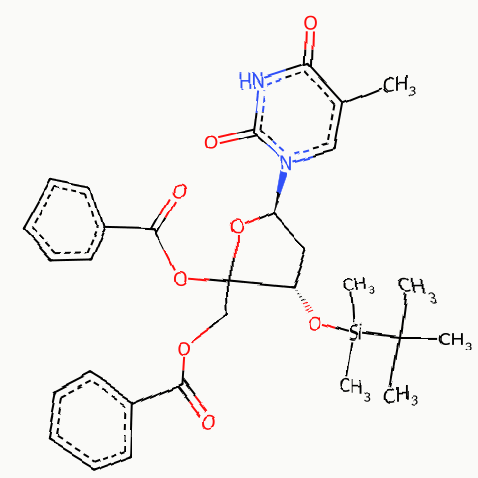 Cc1cn([C@H]2C[C@H](O[Si](C)(C)C(C)(C)C)C(COC(=O)c3ccccc3)(OC(=O)c3ccccc3)O2)c(=O)[nH]c1=O